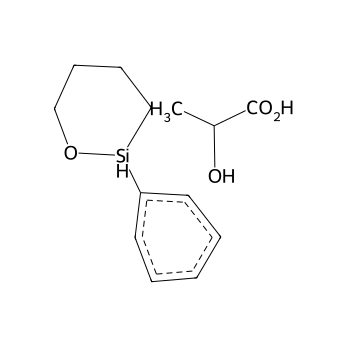 CC(O)C(=O)O.c1ccc([SiH]2CCCCO2)cc1